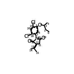 CCC(C)Oc1cc(N2C(=O)CC(=C(C)C)C2=O)c(Cl)cc1Cl